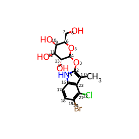 Cc1c(O[C@@H]2O[C@H](CO)[C@H](O)[C@H](O)[C@H]2O)[nH]c2ccc(Br)c(Cl)c12